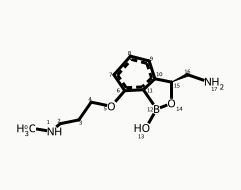 CNCCCOc1cccc2c1B(O)O[C@@H]2CN